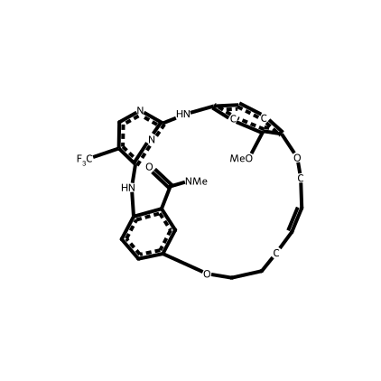 CNC(=O)c1cc2ccc1Nc1nc(ncc1C(F)(F)F)Nc1ccc(c(OC)c1)OC/C=C\CCCO2